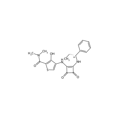 CC[C@@H](Nc1c(Nc2csc(C(=O)N(C)C)c2O)c(=O)c1=O)c1ccccc1